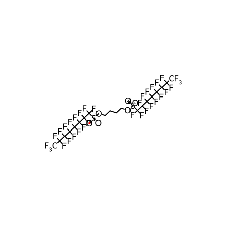 O=S(=O)(OCCCCOS(=O)(=O)C(F)(F)C(F)(F)C(F)(F)C(F)(F)C(F)(F)C(F)(F)C(F)(F)C(F)(F)F)C(F)(F)C(F)(F)C(F)(F)C(F)(F)C(F)(F)C(F)(F)C(F)(F)C(F)(F)F